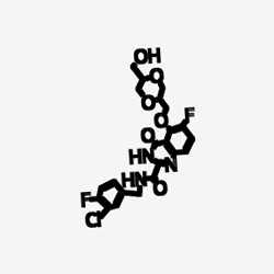 O=C(NCc1ccc(F)c(Cl)c1)c1nc2ccc(F)c(OCC3COC(CO)CO3)c2c(=O)[nH]1